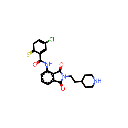 O=C(Nc1cccc2c1C(=O)N(CCC1CCNCC1)C2=O)C1=CC(Cl)=CCC1=S